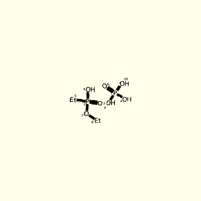 CCOP(=O)(O)CC.O=P(O)(O)O